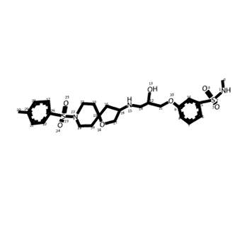 CNS(=O)(=O)c1cccc(OCC(O)CNC2COC3(CCN(S(=O)(=O)c4ccc(C)cc4)CC3)C2)c1